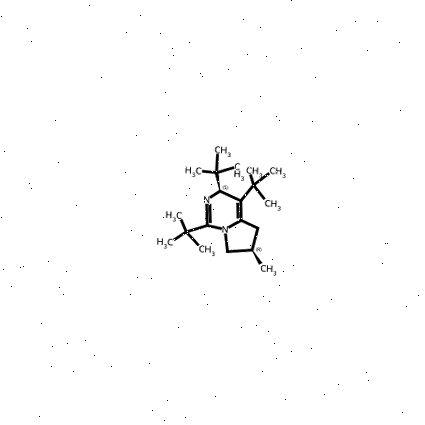 C[C@@H]1CC2=C(C(C)(C)C)[C@H](C(C)(C)C)N=C(C(C)(C)C)N2C1